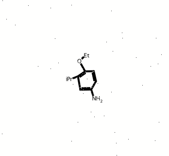 CCOc1ccc(N)cc1C(C)C